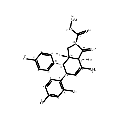 CC1=C[C@@H](c2ccc(Cl)cc2Cl)[C@H](c2ccc(Cl)cc2)[C@@H]2CN(C(=O)OC(C)(C)C)C(=O)[C@@H]12